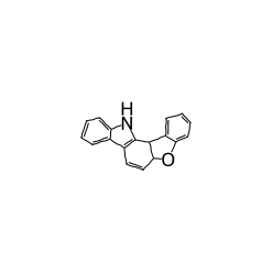 C1=CC2Oc3ccccc3C2c2[nH]c3ccccc3c21